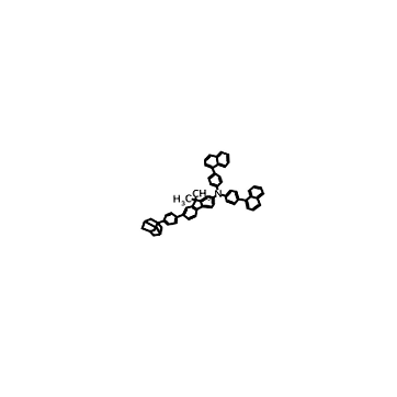 CC1(C)c2cc(-c3ccc(C45CC6CC(CC(C6)C4)C5)cc3)ccc2-c2ccc(N(c3ccc(-c4cccc5ccccc45)cc3)c3ccc(-c4cccc5ccccc45)cc3)cc21